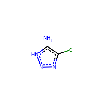 Clc1c[nH]nn1.N